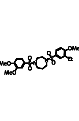 CCc1cc(S(=O)(=O)N2CCCN(S(=O)(=O)c3ccc(OC)c(OC)c3)CC2)ccc1OC